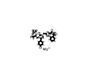 NC(=O)c1nc(Cn2nc(-c3ccc(Cl)cc3)n(C[C@H](OP(=O)([O-])[O-])C(F)(F)F)c2=O)nn1-c1ccccc1C(F)(F)F.[Mg+2]